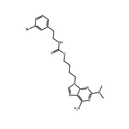 CN(C)c1nc(N)c2ncn(CCCCOC(=O)NCCc3cccc(Br)c3)c2n1